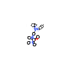 CCC1CC2CC(C)CC(c3nc(-c4ccc(-n5c6ccccc6c6c7c(c8ccccc8n7-c7ccccc7)c7oc8ccccc8c7c65)cc4)nc(C4(C)CC5CC(C)CC(C5)C4)n3)(C1)C2